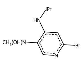 CC(C)Nc1cc(Br)ncc1N(C)O